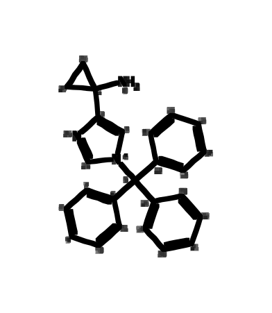 NC1(c2cn(C(c3ccccc3)(c3ccccc3)c3ccccc3)cn2)CC1